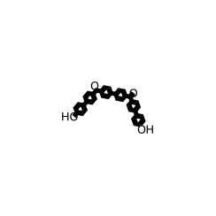 O=C(c1ccc(-c2ccc(O)cc2)cc1)c1ccc(-c2ccc(C(=O)c3ccc(-c4ccc(O)cc4)cc3)cc2)cc1